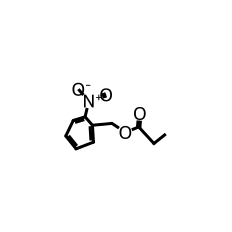 CCC(=O)OCc1ccccc1[N+](=O)[O-]